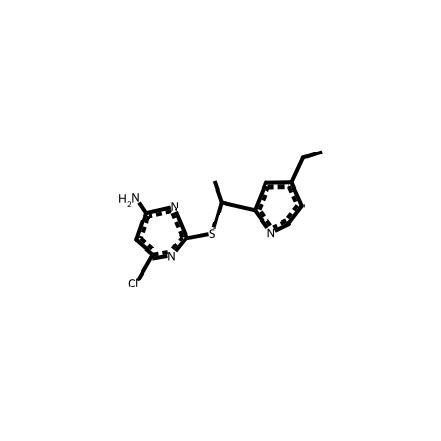 CCc1ccnc(C(C)Sc2nc(N)cc(Cl)n2)c1